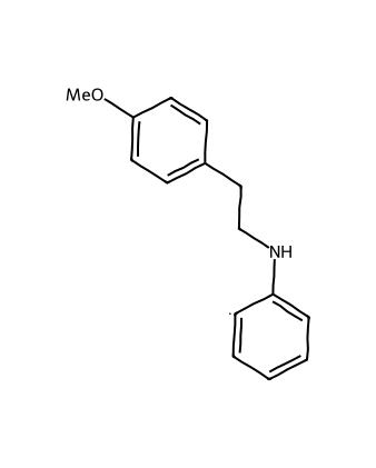 COc1ccc(CCNc2[c]cccc2)cc1